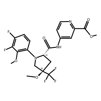 COC(=O)c1cc(NC(=O)[C@@H]2C[C@](OC)(C(F)(F)F)CN2c2ccc(F)c(F)c2OC)ccn1